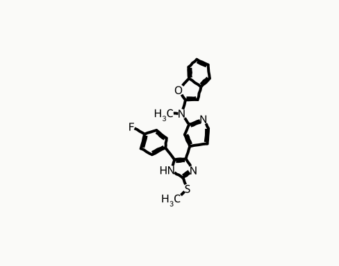 CSc1nc(-c2ccnc(N(C)c3cc4ccccc4o3)c2)c(-c2ccc(F)cc2)[nH]1